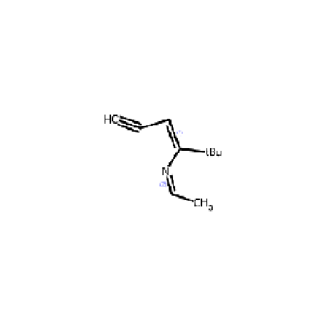 C#C/C=C(\N=C/C)C(C)(C)C